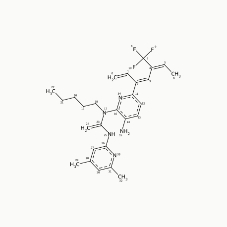 C=C/C(=C\C(=C/C)C(F)(F)F)c1ccc(N)c(N(CCCCC)C(=C)Nc2cc(C)cc(C)n2)n1